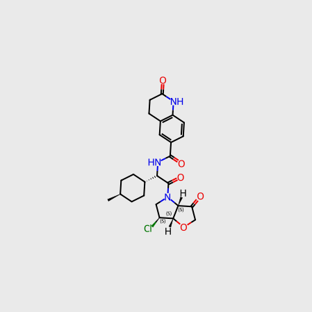 C[C@H]1CC[C@H](C(NC(=O)c2ccc3c(c2)CCC(=O)N3)C(=O)N2C[C@H](Cl)[C@H]3OCC(=O)[C@H]32)CC1